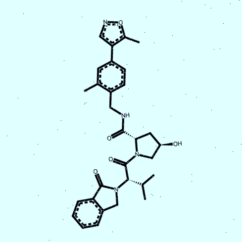 Cc1cc(-c2cnoc2C)ccc1CNC(=O)[C@@H]1C[C@@H](O)CN1C(=O)[C@H](C(C)C)N1Cc2ccccc2C1=O